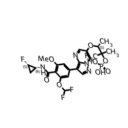 COc1cc(-c2cnn3cc(O[C@@H](C)C(C)(C)OP(=O)(O)O)cnc23)cc(OC(F)F)c1C(=O)N[C@@H]1C[C@@H]1F